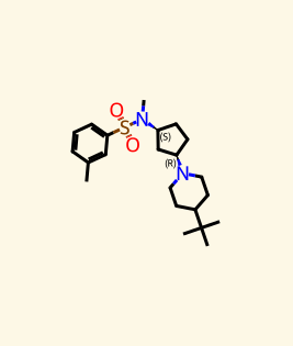 Cc1cccc(S(=O)(=O)N(C)[C@H]2CC[C@@H](N3CCC(C(C)(C)C)CC3)C2)c1